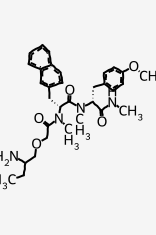 CCC(N)COCC(=O)N(C)[C@H](Cc1ccc2ccccc2c1)C(=O)N(C)[C@H](Cc1ccc(OC)cc1)C(=O)NC